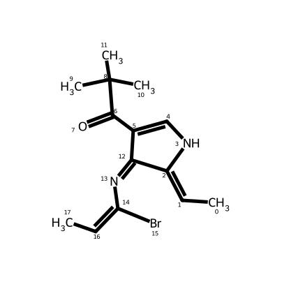 CC=C1NC=C(C(=O)C(C)(C)C)/C1=N/C(Br)=C\C